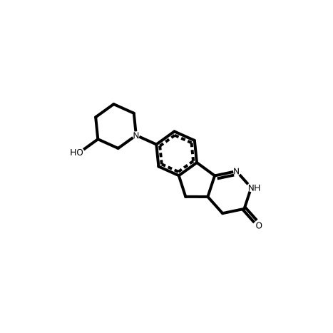 O=C1CC2Cc3cc(N4CCCC(O)C4)ccc3C2=NN1